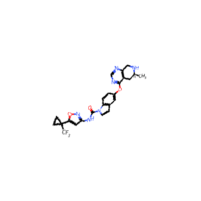 C[C@H]1Cc2c(ncnc2Oc2ccc3c(ccn3C(=O)Nc3cc(C4(C(F)(F)F)CC4)on3)c2)CN1